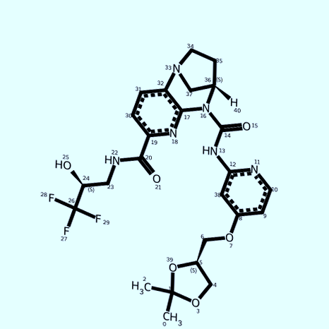 CC1(C)OC[C@H](COc2ccnc(NC(=O)N3c4nc(C(=O)NC[C@H](O)C(F)(F)F)ccc4N4CC[C@H]3C4)c2)O1